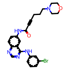 O=C(C#CCCCN1CCOCC1)Nc1ccc2ncnc(Nc3cccc(Br)c3)c2c1